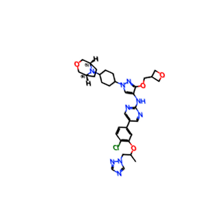 CC(Cn1cncn1)Oc1cc(-c2cnc(Nc3cn(C4CCC(N5[C@@H]6CC[C@H]5COC6)CC4)nc3OCC3COC3)nc2)ccc1Cl